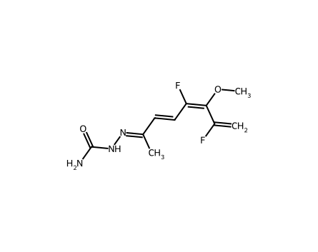 C=C(F)\C(OC)=C(F)/C=C/C(C)=N/NC(N)=O